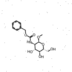 CO[C@H]1O[C@H](CO)[C@@H](O)[C@H](O)[C@H]1NC(=O)OCc1ccccc1